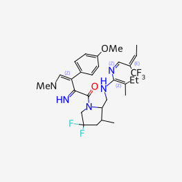 C\C=C(/C=N\C(NCC1C(C)CC(F)(F)CN1C(=O)C(=N)/C(=C\NC)c1ccc(OC)cc1)=C(\C)CC)C(F)(F)F